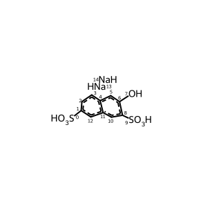 O=S(=O)(O)c1ccc2cc(O)c(S(=O)(=O)O)cc2c1.[NaH].[NaH]